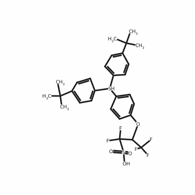 CC(C)(C)c1ccc([SH](c2ccc(OC(C(F)(F)F)C(F)(F)S(=O)(=O)O)cc2)c2ccc(C(C)(C)C)cc2)cc1